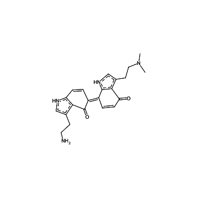 CN(C)CCc1c[nH]c2c1C(=O)C=CC2=C1C=Cc2[nH]cc(CCN)c2C1=O